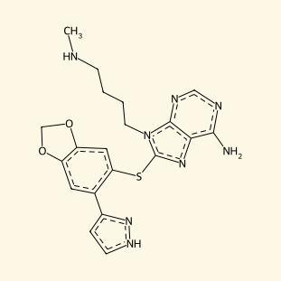 CNCCCCn1c(Sc2cc3c(cc2-c2cc[nH]n2)OCO3)nc2c(N)ncnc21